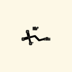 CCCCCCS(=O)(=O)[O-].[Rb+]